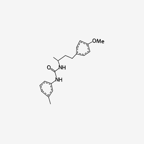 COc1ccc(CCC(C)NC(=O)Nc2cccc(C)c2)cc1